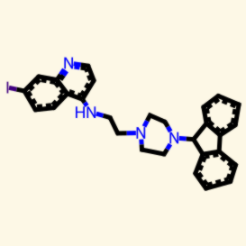 Ic1ccc2c(NCCN3CCN(C4c5ccccc5-c5ccccc54)CC3)ccnc2c1